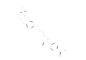 CCCCS(=O)(=O)NC(Cc1ccc(OCCC2CN(c3ccc(C(=N)N)cc3)C(=O)O2)cc1)C(=O)O